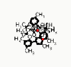 Cc1cc(C)c(OC(=O)OC(C)(C)C)c(-c2cc(C)cc(C)c2OP(Oc2ccc(C)cc2C(C)(C)C)Oc2ccc(C)cc2C(C)(C)C)c1